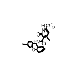 Cc1ccc2c(c1)Oc1ccccc1C2NC(=O)c1c(C)cc(C(F)(F)F)[nH]c1=O